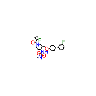 CN(C)S(=O)(=O)NC1CCN(C(=O)C2(F)CC2)C[C@H]1CO[C@H]1CC[C@@H](c2cccc(F)c2)CC1